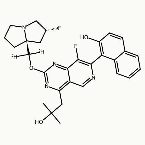 [2H]C([2H])(Oc1nc(CC(C)(C)O)c2cnc(-c3c(O)ccc4ccccc34)c(F)c2n1)[C@@]12CCCN1C[C@H](F)C2